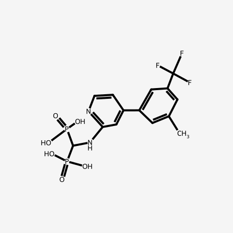 Cc1cc(-c2ccnc(NC(P(=O)(O)O)P(=O)(O)O)c2)cc(C(F)(F)F)c1